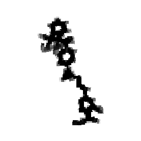 CNC(=O)c1ccc(OCC[C@H]2C[C@@H]2C2CCN(C(=O)[C@]3(O)c4ccccc4C3(F)C(F)(F)F)CC2)cc1Cl